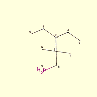 CC[C](CC)C(C)(C)CP